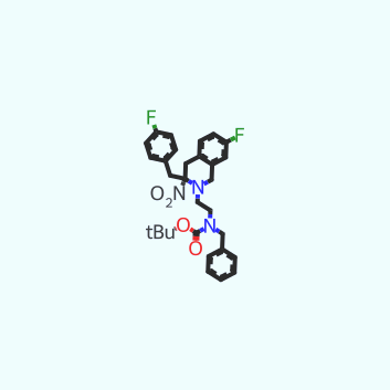 CC(C)(C)OC(=O)N(CCN1Cc2cc(F)ccc2CC1(Cc1ccc(F)cc1)[N+](=O)[O-])Cc1ccccc1